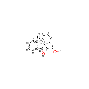 COCC[C@]12CCCC[C@H]1c1ccccc1C2=O